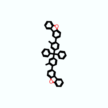 Cc1cc(C(c2ccccc2)(c2ccccc2)c2ccc(-c3ccc4oc5ccccc5c4c3)c(C)c2)ccc1-c1ccc2oc3ccccc3c2c1